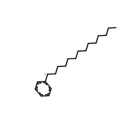 CCCCCCCCCCCCC[CH]c1ccccc1